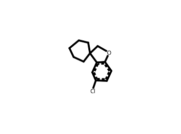 Clc1ccc2c(c1)C1(CCCCC1)CO2